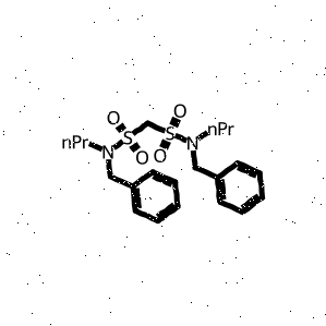 CCCN(Cc1ccccc1)S(=O)(=O)CS(=O)(=O)N(CCC)Cc1ccccc1